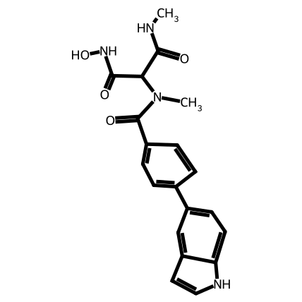 CNC(=O)C(C(=O)NO)N(C)C(=O)c1ccc(-c2ccc3[nH]ccc3c2)cc1